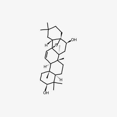 CC1(C)CC[C@]23CO[C@@]4(C=C[C@@H]5[C@@]6(C)CC[C@H](O)C(C)(C)[C@@H]6CC[C@@]5(C)[C@]4(C)C[C@@H]2O)[C@@H]3C1